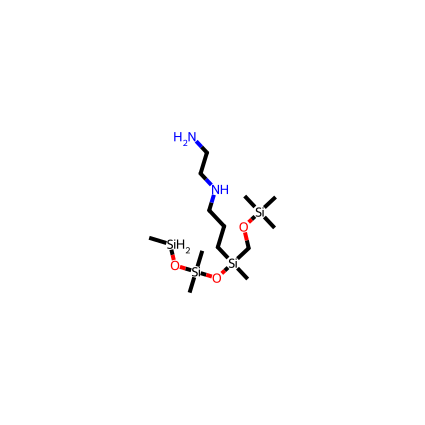 C[SiH2]O[Si](C)(C)O[Si](C)(CCCNCCN)CO[Si](C)(C)C